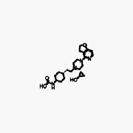 O=C(O)N[C@H]1CC[C@H](CCN2CCN(c3nccc4c3CCO4)CC2)CC1.OC1CC1